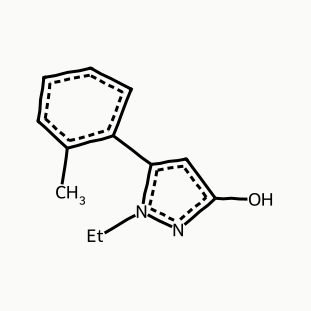 CCn1nc(O)cc1-c1ccccc1C